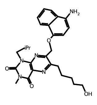 CC(C)Cn1c(=O)n(C)c(=O)c2nc(CCCCCO)c(COc3ccc(N)c4ccccc34)nc21